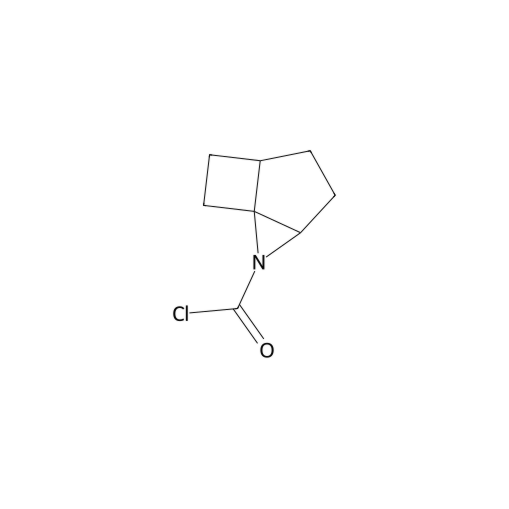 O=C(Cl)N1C2CCC3CCC321